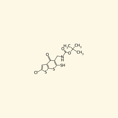 CC(C)(C)OC(=O)NCc1c(S)sc2sc(Cl)cc2c1=O